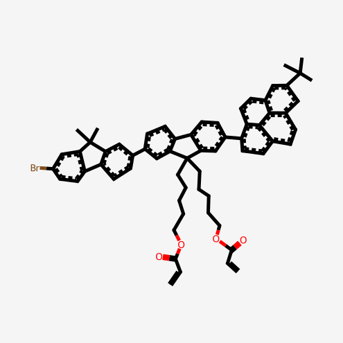 C=CC(=O)OCCCCCC1(CCCCCOC(=O)C=C)c2cc(-c3ccc4c(c3)C(C)(C)c3cc(Br)ccc3-4)ccc2-c2ccc(-c3ccc4ccc5cc(C(C)(C)C)cc6ccc3c4c56)cc21